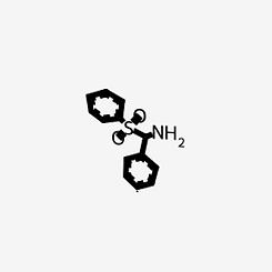 NC(c1cc[c]cc1)S(=O)(=O)c1ccccc1